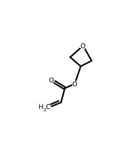 C=CC(=O)OC1COC1